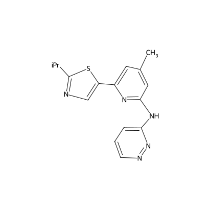 Cc1cc(Nc2cccnn2)nc(-c2cnc(C(C)C)s2)c1